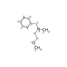 COCCN(C)Cc1ccccc1